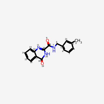 Cc1cccc(CNC(=O)c2nc3ccccc3c(=O)[nH]2)c1